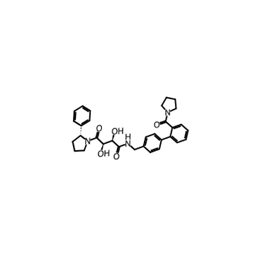 O=C(NCc1ccc(-c2ccccc2C(=O)N2CCCC2)cc1)[C@H](O)[C@@H](O)C(=O)N1CCC[C@@H]1c1ccccc1